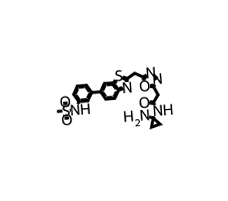 CS(=O)(=O)Nc1cccc(-c2ccc3nc(Cc4nnc(CC(=O)NC5(N)CC5)o4)sc3c2)c1